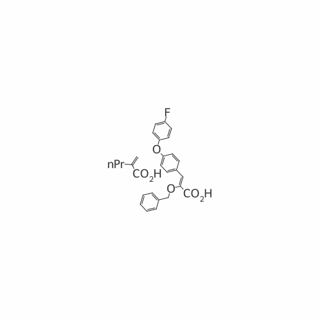 C=C(CCC)C(=O)O.O=C(O)C(=Cc1ccc(Oc2ccc(F)cc2)cc1)OCc1ccccc1